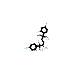 CC(CCC(C)(c1ccc(F)cc1F)C(C)C)C(C)(C)c1ccc(F)cc1